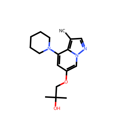 CC(C)(O)COc1cc(N2CCCCC2)c2c(C#N)cnn2c1